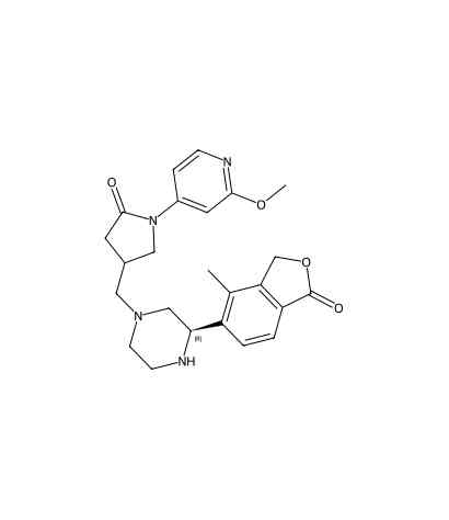 COc1cc(N2CC(CN3CCN[C@H](c4ccc5c(c4C)COC5=O)C3)CC2=O)ccn1